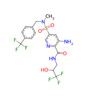 CN(Cc1ccc(C(F)(F)F)cc1)S(=O)(=O)c1cnc(C(=O)NCC(O)C(F)(F)F)c(N)c1